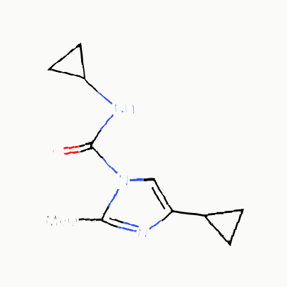 COc1nc(C2CC2)cn1C(=O)NC1CC1